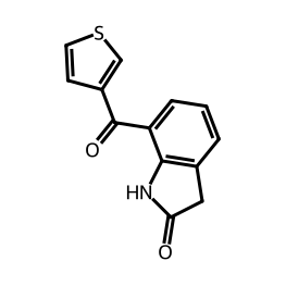 O=C1Cc2cccc(C(=O)c3ccsc3)c2N1